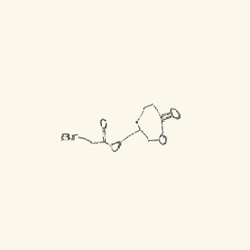 O=C1CCCC(OC(=O)CBr)CO1